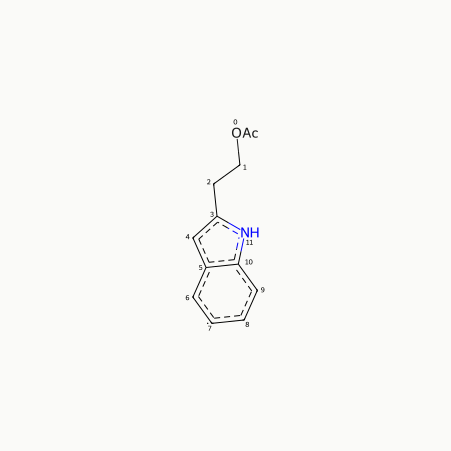 CC(=O)OCCc1cc2c[c]ccc2[nH]1